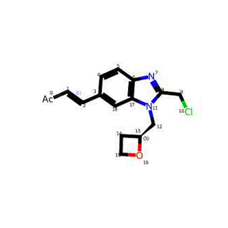 CC(=O)/C=C/c1ccc2nc(CCl)n(C[C@@H]3CCO3)c2c1